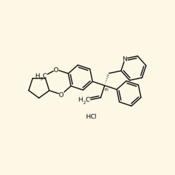 C=C[C@](Cc1ccccn1)(c1ccccc1)c1ccc(OC)c(OC2CCCC2)c1.Cl